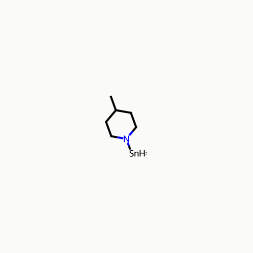 CC1CC[N]([SnH])CC1